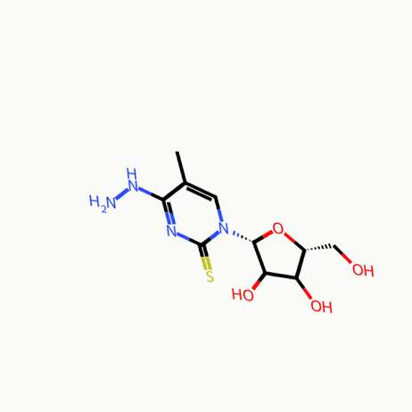 Cc1cn([C@@H]2O[C@H](CO)C(O)C2O)c(=S)nc1NN